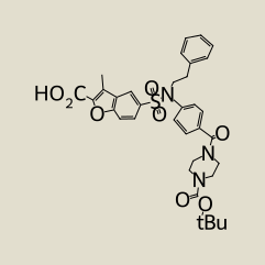 Cc1c(C(=O)O)oc2ccc(S(=O)(=O)N(CCc3ccccc3)c3ccc(C(=O)N4CCN(C(=O)OC(C)(C)C)CC4)cc3)cc12